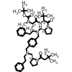 C[C@@H](C(=O)N[C@H](C(=O)N1CCC[C@H]1CN(CCc1ccccc1)Cc1ccc(CN(CCc2ccccc2)C[C@@H]2CCCN2C(=O)CC(C)(C)C)cc1)C(C)(C)C)N(C)C(=O)OC(C)(C)C